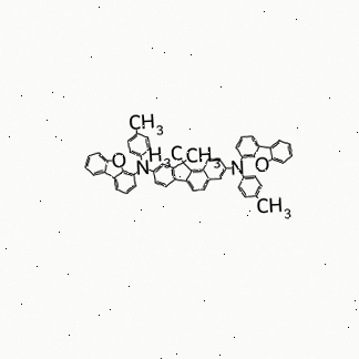 Cc1ccc(N(c2ccc3c(c2)C(C)(C)c2c-3ccc3cc(N(c4ccc(C)cc4)c4cccc5c4oc4ccccc45)ccc23)c2cccc3c2oc2ccccc23)cc1